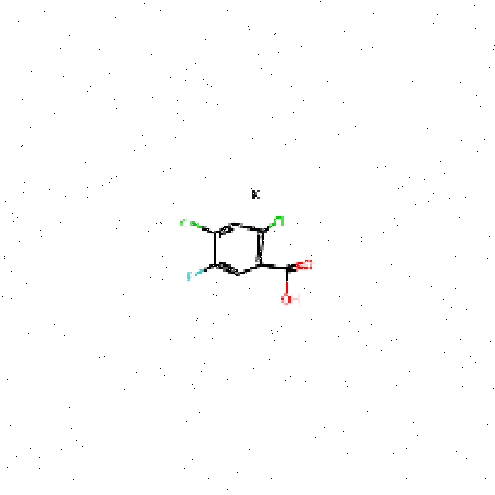 O=C(O)c1cc(F)c(Cl)cc1Cl.[K]